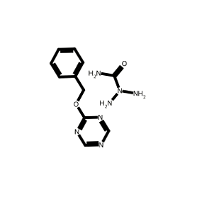 NC(=O)N(N)N.c1ccc(COc2ncncn2)cc1